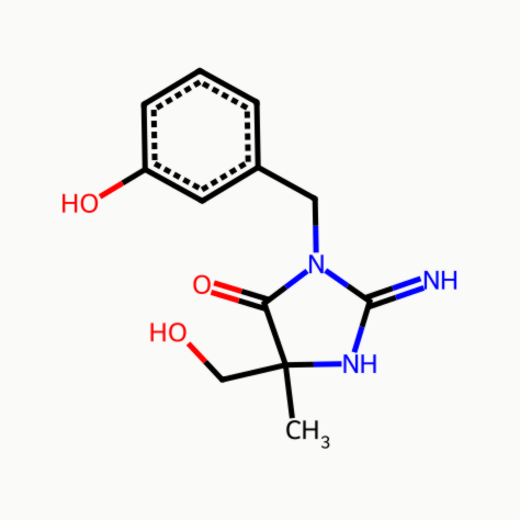 CC1(CO)NC(=N)N(Cc2cccc(O)c2)C1=O